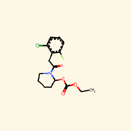 CCOC(=O)OC1CCCCN1C(=O)Cc1c(F)cccc1Cl